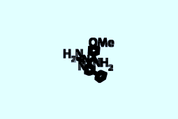 COc1ccc(C(N)c2nc(CN)nc3ccc(-c4ccccc4)cc23)cc1